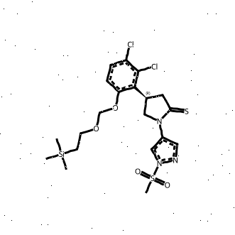 C[Si](C)(C)CCOCOc1ccc(Cl)c(Cl)c1[C@H]1CC(=S)N(c2cnn(S(C)(=O)=O)c2)C1